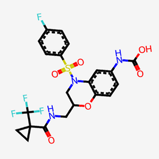 O=C(O)Nc1ccc2c(c1)N(S(=O)(=O)c1ccc(F)cc1)CC(CNC(=O)C1(C(F)(F)F)CC1)O2